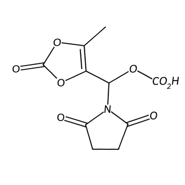 Cc1oc(=O)oc1C(OC(=O)O)N1C(=O)CCC1=O